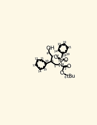 CC(C)(C)OC(=O)N(CC(CCO)c1ccccc1)S(=O)(=O)c1ccccc1